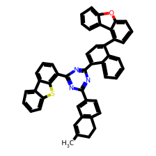 CC1=Cc2cc(-c3nc(-c4ccc(-c5cccc6oc7ccccc7c56)c5ccccc45)nc(-c4cccc5c4sc4ccccc45)n3)ccc2CC1